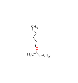 [CH2]CC(C)OCCCCCC